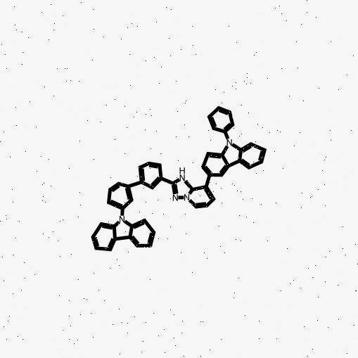 C1=CN2N=C(c3cccc(-c4cccc(-n5c6ccccc6c6ccccc65)c4)c3)NC2C(c2ccc3c(c2)c2ccccc2n3-c2ccccc2)=C1